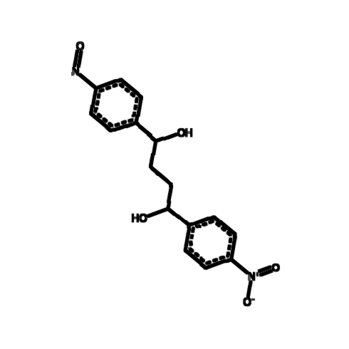 O=Nc1ccc(C(O)CCC(O)c2ccc([N+](=O)[O-])cc2)cc1